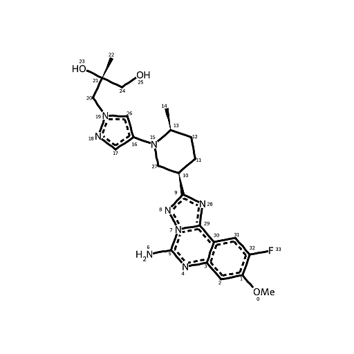 COc1cc2nc(N)n3nc([C@@H]4CC[C@H](C)N(c5cnn(C[C@](C)(O)CO)c5)C4)nc3c2cc1F